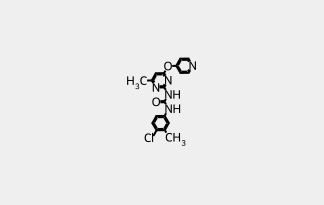 Cc1cc(Oc2ccncc2)nc(NC(=O)Nc2ccc(Cl)c(C)c2)n1